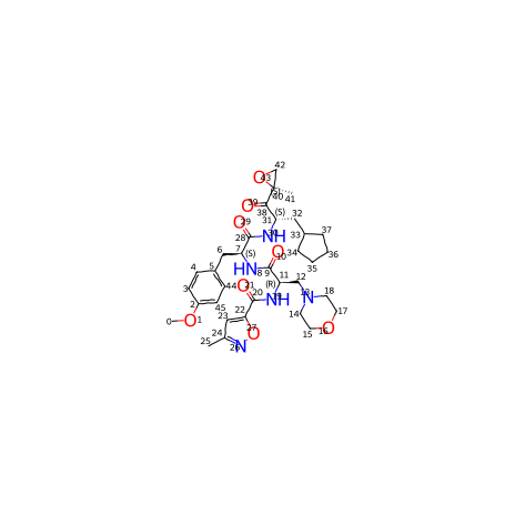 COc1ccc(C[C@H](NC(=O)[C@@H](CN2CCOCC2)NC(=O)c2cc(C)no2)C(=O)N[C@@H](CC2CCCC2)C(=O)[C@]2(C)CO2)cc1